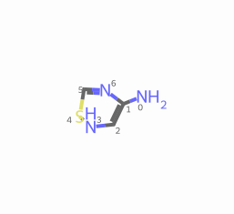 NC1=CNSC=N1